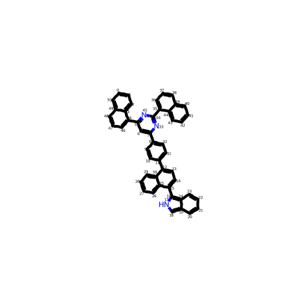 c1ccc2c(-c3cc(-c4ccc(-c5ccc(-c6[nH]cc7ccccc67)c6ccccc56)cc4)nc(-c4cccc5ccccc45)n3)cccc2c1